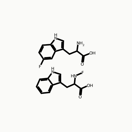 NC(Cc1c[nH]c2ccc(F)cc12)C(=O)O.O=C(O)C(Cc1c[nH]c2ccccc12)NF